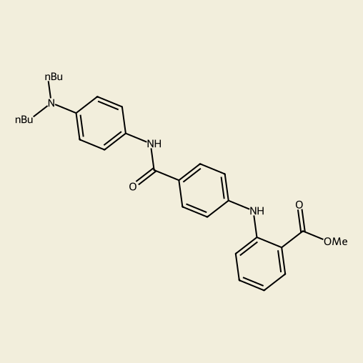 CCCCN(CCCC)c1ccc(NC(=O)c2ccc(Nc3ccccc3C(=O)OC)cc2)cc1